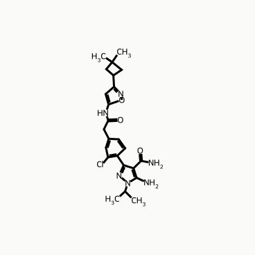 CC(C)n1nc(-c2ccc(CC(=O)Nc3cc(C4CC(C)(C)C4)no3)cc2Cl)c(C(N)=O)c1N